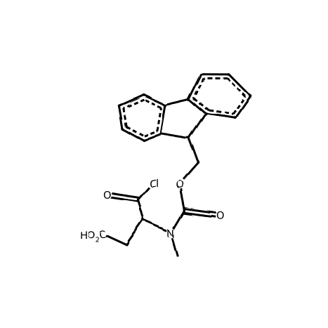 CN(C(=O)OCC1c2ccccc2-c2ccccc21)C(CC(=O)O)C(=O)Cl